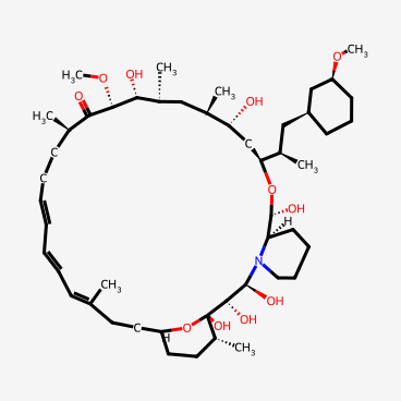 CO[C@H]1CCC[C@@H](C[C@@H](C)[C@@H]2C[C@@H](O)[C@H](C)C[C@@H](C)[C@@H](O)[C@@H](OC)C(=O)[C@H](C)CC/C=C/C=C/C=C(\C)CC[C@@H]3CC[C@@H](C)C(O)(O3)[C@@H](O)[C@H](O)N3CCCC[C@@H]3[C@@H](O)O2)C1